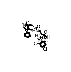 CN1CN(c2ccccc2)C2(CCN(C(=O)NCC(NS(=O)(=O)c3c(Cl)cc(Cl)cc3Cl)C(=O)O)CC2)C1=O